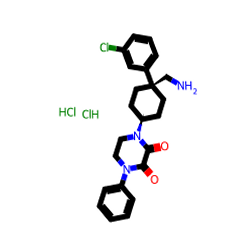 Cl.Cl.NC[C@]1(c2cccc(Cl)c2)CC[C@H](N2CCN(c3ccccc3)C(=O)C2=O)CC1